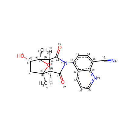 C[C@]12O[C@](C)(C[C@@H]1O)[C@@H]1C(=O)N(c3ccc(C#N)c4ncccc34)C(=O)[C@@H]12